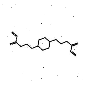 C=CC(=C)CCCC1CCC(CCCC(=C)C=C)CC1